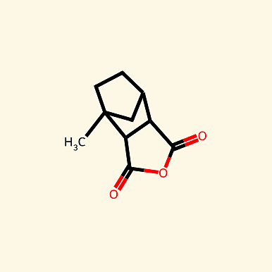 CC12CCC(C1)C1C(=O)OC(=O)C12